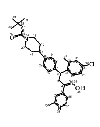 Cc1cc(/C(CC(c2ccc(C3CCN(C(=O)OC(C)(C)C)CC3)cc2)c2ccc(Cl)cc2C)=N\O)ccn1